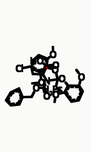 COc1cccc(OC)c1OC(Oc1c(OC)cccc1OC)([PH2]=S)N(C(=O)OCc1ccccc1)C(CCCl)C(=O)O